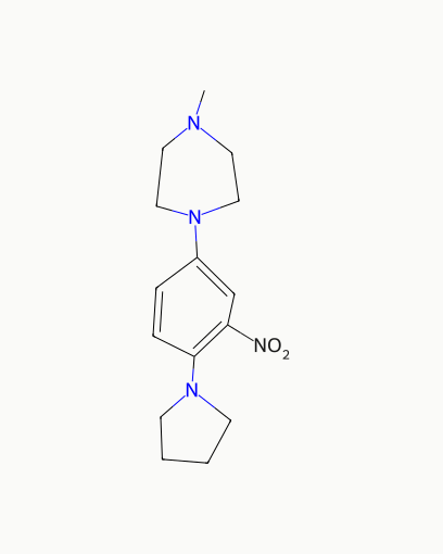 CN1CCN(c2ccc(N3CCCC3)c([N+](=O)[O-])c2)CC1